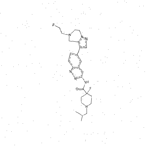 CC(C)CN1CCC(F)(C(=O)Nc2cc3cc(-c4cnn5c4CN(CCF)CC5)ccc3nn2)CC1